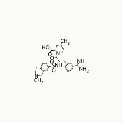 CC1=CCN(C(=O)[C@H](Cc2cccc(C(=N)N)c2)NS(=O)(=O)c2ccc3c(c2)CN(C)CC3)[C@@H](C(=O)O)C1